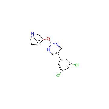 Clc1cc(Cl)cc(-c2cnc(OC3CN4CCC3CC4)nc2)c1